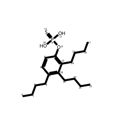 CCCCc1ccc(OP(O)(O)=S)c(CCCC)c1CCCC